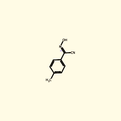 Cc1ccc(/C(C#N)=N/O)cc1